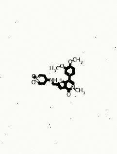 COc1ccc(-c2cn(C)c(=O)c3cc(CNC4CCS(=O)(=O)CC4)sc23)cc1OC